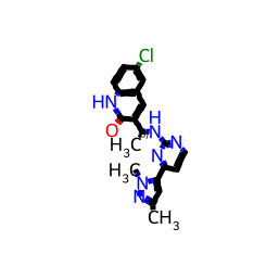 Cc1cc(-c2ccnc(N[C@@H](C)c3cc4cc(Cl)ccc4[nH]c3=O)n2)n(C)n1